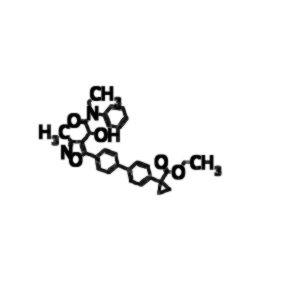 CCOC(=O)C1(c2ccc(-c3ccc(-c4onc(C)c4C(O)C(=O)N(CC)c4ccccc4)cc3)cc2)CC1